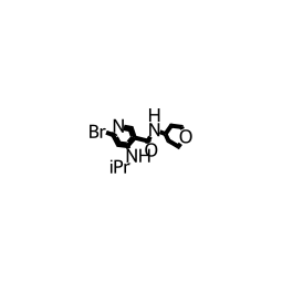 CC(C)Nc1cc(Br)ncc1C(=O)NC1CCOCC1